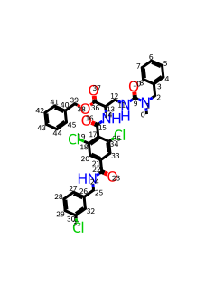 CN(Cc1ccccc1)C(=O)NCC(NC(=O)c1c(Cl)cc(C(=O)NCc2cccc(Cl)c2)cc1Cl)C(=O)OCc1ccccc1